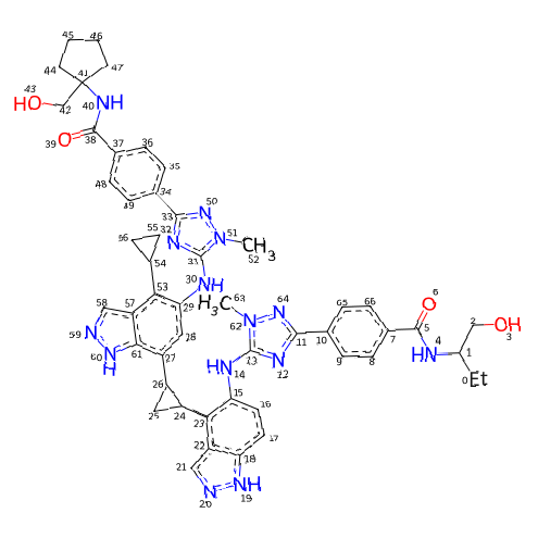 CCC(CO)NC(=O)c1ccc(-c2nc(Nc3ccc4[nH]ncc4c3C3CC3c3cc(Nc4nc(-c5ccc(C(=O)NC6(CO)CCCC6)cc5)nn4C)c(C4CC4)c4cn[nH]c34)n(C)n2)cc1